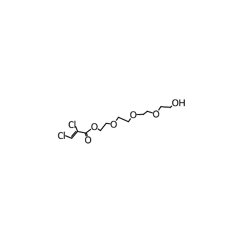 O=C(OCCOCCOCCOCCO)C(Cl)=CCl